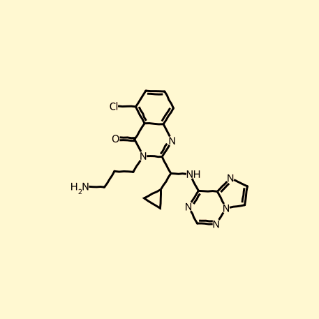 NCCCn1c(C(Nc2ncnn3ccnc23)C2CC2)nc2cccc(Cl)c2c1=O